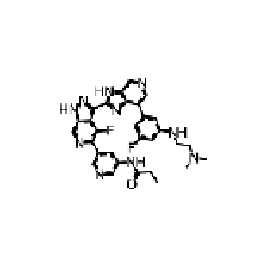 CCC(=O)Nc1cncc(-c2ncc3[nH]nc(-c4nc5c(-c6cc(F)cc(NCCN(C)C)c6)cncc5[nH]4)c3c2F)c1